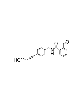 O=Cc1ccccc1C(=O)NCc1ccc(C#CCCO)cc1